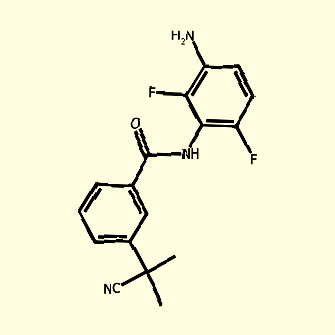 CC(C)(C#N)c1cccc(C(=O)Nc2c(F)ccc(N)c2F)c1